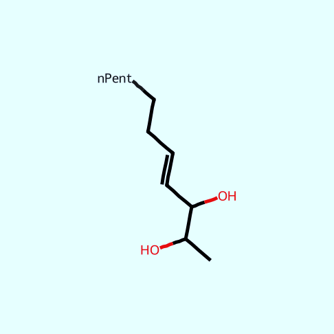 CCCCCCCC=CC(O)C(C)O